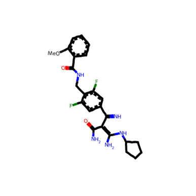 COc1ccccc1C(=O)NCc1c(F)cc(C(=N)/C(C(N)=O)=C(/N)NC2CCCC2)cc1F